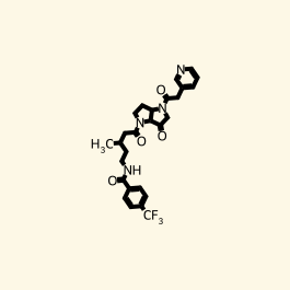 CC(CCNC(=O)c1ccc(C(F)(F)F)cc1)CC(=O)N1CCC2C1C(=O)CN2C(=O)Cc1cccnc1